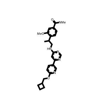 CNC(=O)c1ccc(C(C)CNc2cc(-c3ccc(OCC4CCC4)nc3)ncn2)c(OC)c1